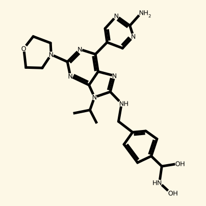 CC(C)n1c(NCc2ccc(C(O)NO)cc2)nc2c(-c3cnc(N)nc3)nc(N3CCOCC3)nc21